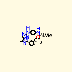 CNC(=O)Nc1ccc(Nc2ncc3c(C)nc(-c4cccc(C(F)(F)F)c4)n3n2)cc1